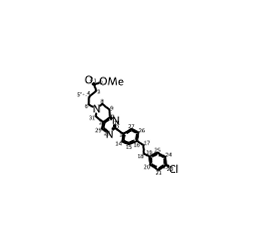 COC(=O)C[C@@H](C)CN1CCc2nc(-c3ccc(CCc4ccc(Cl)cc4)cc3)ncc2C1